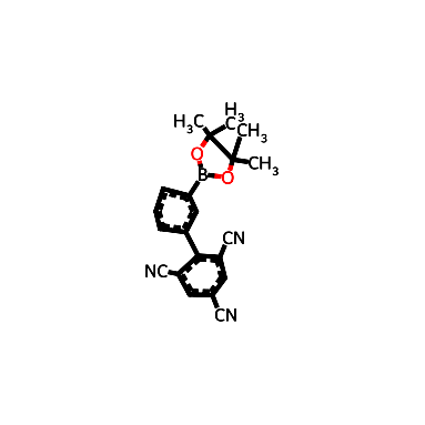 CC1(C)OB(c2cccc(-c3c(C#N)cc(C#N)cc3C#N)c2)OC1(C)C